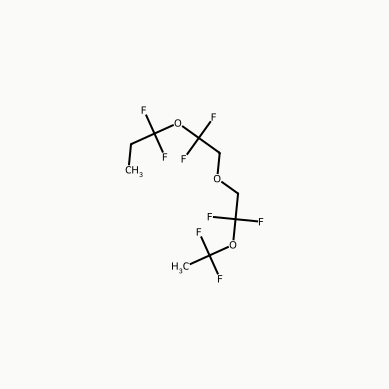 CCC(F)(F)OC(F)(F)COCC(F)(F)OC(C)(F)F